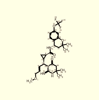 COC/C=C/[C@@H](C1C[C@H]1C(=O)N[C@H]1CC(C)(C)Oc2cc(OC(F)(F)F)ccc21)N1C(=N)NC(C)(C)CC1=O